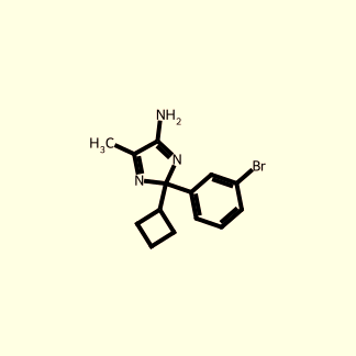 CC1=NC(c2cccc(Br)c2)(C2CCC2)N=C1N